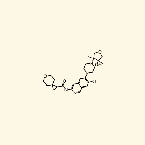 CC1(O)COCC1(C)N1CCN(c2cc3cc(NC(=O)C4CC45CCOCC5)ncc3cc2Cl)CC1